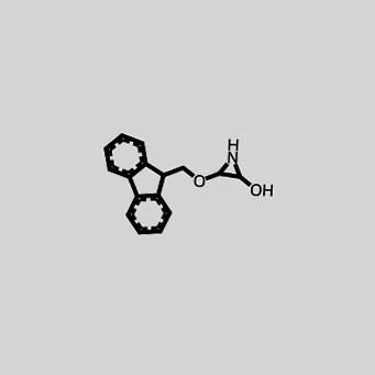 OC1NC1OCC1c2ccccc2-c2ccccc21